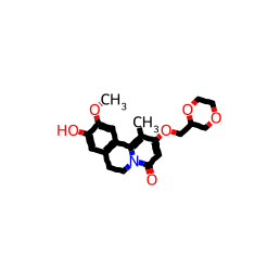 COc1cc2c(cc1O)CCn1c-2c(C)c(OCC2COCCO2)cc1=O